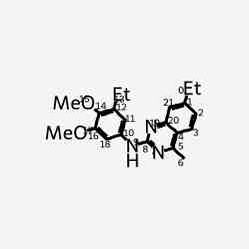 CCc1ccc2c(C)nc(Nc3cc(CC)c(OC)c(OC)c3)nc2c1